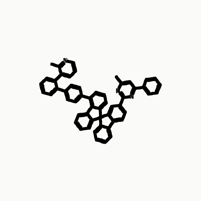 Cc1cc(-c2ccccc2)nc(-c2ccc3c(c2)C2(c4ccccc4-3)c3ccccc3-c3c(-c4ccc(-c5ccccc5-c5cccnc5C)cc4)cccc32)n1